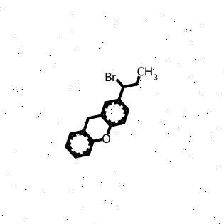 CCC(Br)c1ccc2c(c1)Cc1ccccc1O2